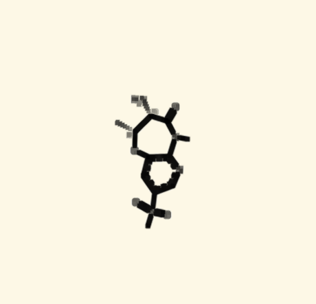 C[C@H]1Oc2cc(S(C)(=O)=O)cnc2N(C)C(=O)[C@H]1N